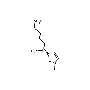 CN1C=C[N]([Mo]([PH2])[CH2]CCCS(=O)(=O)O)C1